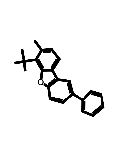 Cc1ccc2c(oc3ccc(-c4ccccc4)cc32)c1C(C)(C)C